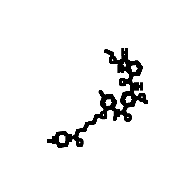 CCOc1nc2c(C(=O)Nc3ccc(C(=O)N(C)c4ccc(C)cc4OCCCCCC(=O)N4CCN(C)CC4)cc3OC)cccc2[nH]1